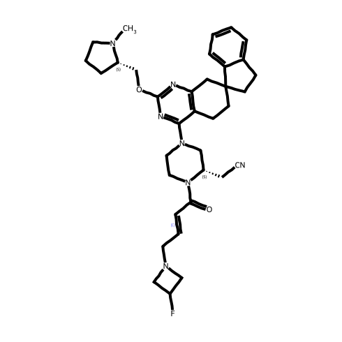 CN1CCC[C@H]1COc1nc2c(c(N3CCN(C(=O)/C=C/CN4CC(F)C4)[C@@H](CC#N)C3)n1)CCC1(CCc3ccccc31)C2